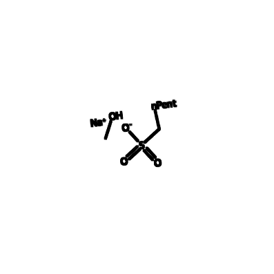 CCCCCCS(=O)(=O)[O-].CO.[Na+]